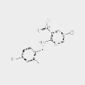 O=[N+]([O-])c1cc(Cl)cnc1NCc1ccc(Br)cc1F